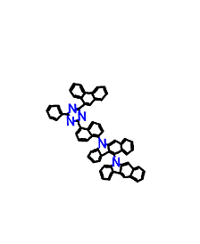 c1ccc(-c2nc(-c3cccc4c(-n5c6ccccc6c6c(-n7c8ccccc8c8cc9ccccc9cc87)c7ccccc7cc65)cccc34)nc(-c3cc4ccccc4c4ccccc34)n2)cc1